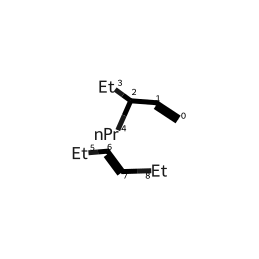 C=CC(CC)CCC.CCC=CCC